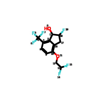 OC1c2c(C(F)(F)F)ccc(OCC(F)F)c2CC1F